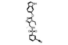 CCn1c(Oc2ccc3cc[nH]c3c2)nnc1[C@@H](C)NS(=O)(=O)c1cccc(C#N)c1